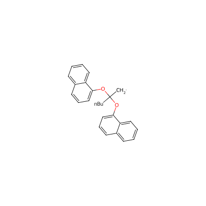 [CH2]C(CCCC)(Oc1cccc2ccccc12)Oc1cccc2ccccc12